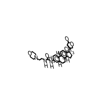 C[C@]12CC[C@H](NC(=O)NCCN3CCOCC3)C[C@H]1CC[C@@H]1[C@@H]2CC[C@]2(C)[C@@H](C3=CC(=O)OC3)CC[C@]12O